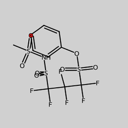 CS(=O)(=O)NS(=O)(=O)C(F)(F)C(F)(F)C(F)(F)S(=O)(=O)Oc1ccccc1